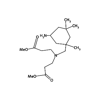 COC(=O)CCN(CCC(=O)OC)CC1(C)CC(N)CC(C)(C)C1